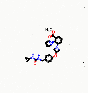 COC(=O)c1cccc(N2CC(Oc3ccc(CNC(=O)NC4CC4)cc3)C2)c1-n1cccc1